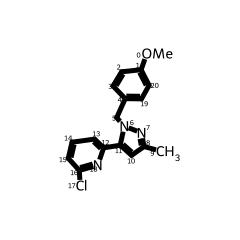 COc1ccc(Cn2nc(C)cc2-c2cccc(Cl)n2)cc1